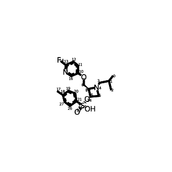 CC(C)CN1CC[C@H]1COc1ccc(F)nc1.Cc1ccc(S(=O)(=O)O)cc1